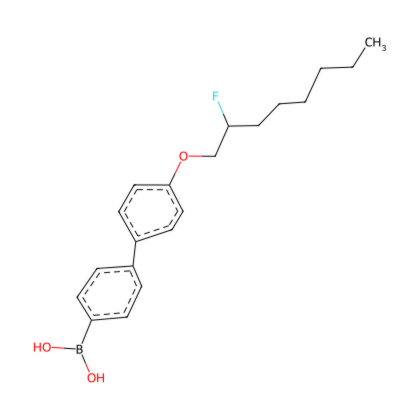 CCCCCCC(F)COc1ccc(-c2ccc(B(O)O)cc2)cc1